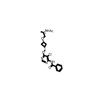 CC(=O)N[C@@H](C)CO[C@H]1C[C@H](COc2ncnc(NC(=O)c3ccccc3)c2Cl)C1